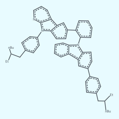 CCCCC(CC)Cc1ccc(-c2ccc3c(c2)c2ccccc2n3-c2ccccc2-c2ccc3c(c2)c2cccnc2n3-c2ccc(CC(CC)CCCC)cc2)cc1